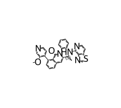 COc1cnccc1-c1cccc2cc([C@H](C)Nc3nccc4scnc34)n(-c3ccccc3)c(=O)c12